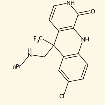 CCCNCC1(C(F)(F)F)c2cc(Cl)ccc2Nc2c1cc[nH]c2=O